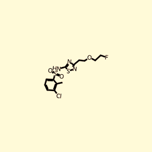 Cc1c(Cl)cccc1S(=O)(=O)Nc1nc(CCOCCF)ns1